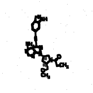 C=CC(=O)N1C[C@@H](n2nc(C#Cc3ccc4cn[nH]c4c3)c3c(N)ncnc32)C[C@@H]1COC